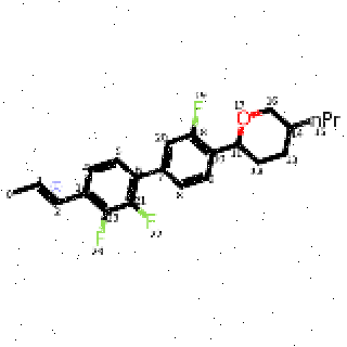 C/C=C/c1ccc(-c2ccc(C3CCC(CCC)CO3)c(F)c2)c(F)c1F